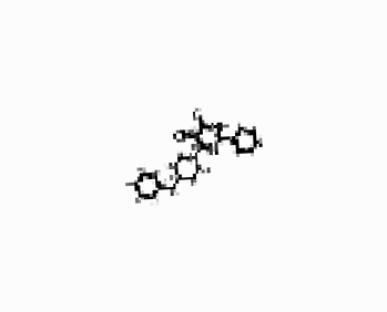 O=c1[nH]c(-c2ccncc2)nc(N2CCC(Cc3ccccc3)CC2)c1Cl